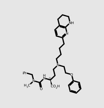 CC(C)CN(C)C(=O)N[C@@H](CCN(CCCCc1ccc2c(n1)NCCC2)CCOc1ccccc1)C(=O)O